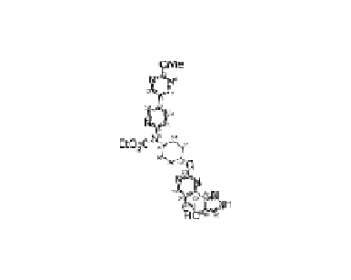 CCOC(=O)N(c1cnc(-c2cnc(OC)nc2)cn1)[C@H]1CC[C@H](Oc2ncc(C#N)c(-c3n[nH]cc3O)n2)CC1